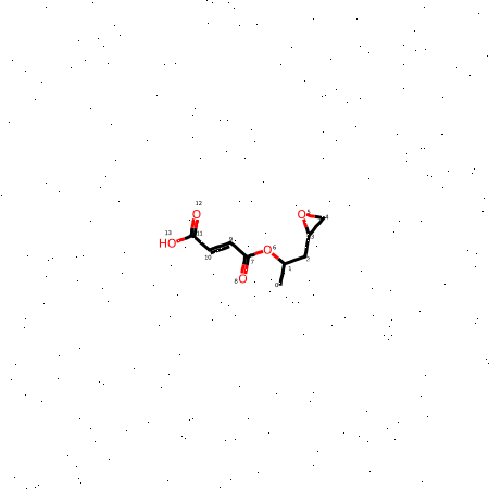 CC(CC1CO1)OC(=O)C=CC(=O)O